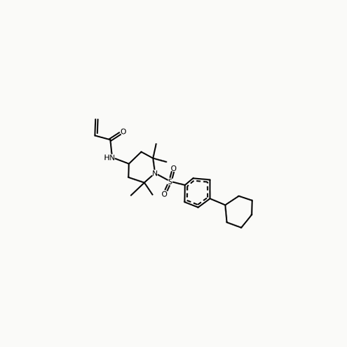 C=CC(=O)NC1CC(C)(C)N(S(=O)(=O)c2ccc(C3CCCCC3)cc2)C(C)(C)C1